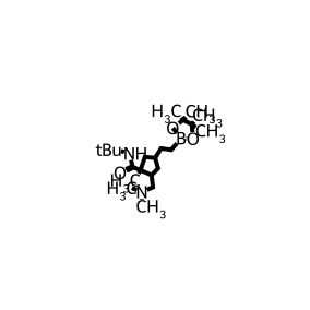 CN(C)CC1CC(CCB2OC(C)(C)C(C)(C)O2)CC1(C)C(=O)NC(C)(C)C